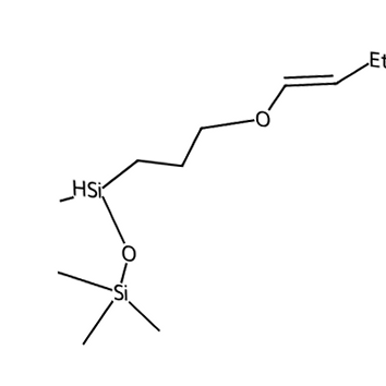 CCC=COCCC[SiH](C)O[Si](C)(C)C